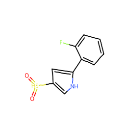 O=[SH](=O)c1c[nH]c(-c2ccccc2F)c1